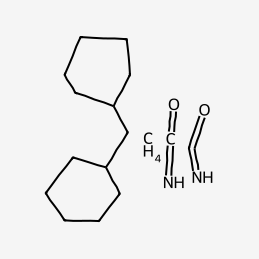 C.C1CCC(CC2CCCCC2)CC1.N=C=O.N=C=O